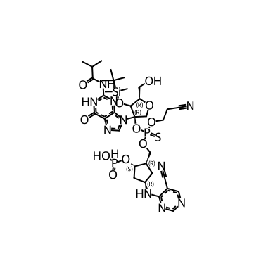 CC(C)C(=O)Nc1nc2c(ncn2[C@@]2(OP(=S)(OCCC#N)OC[C@H]3C[C@@H](Nc4ncncc4C#N)C[C@@H]3O[PH](=O)O)CO[C@H](CO)C2O[Si](C)(C)C(C)(C)C)c(=O)[nH]1